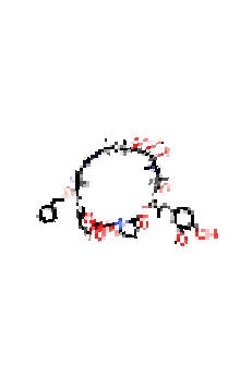 CO[C@@H]1C[C@H](CC(C)[C@@H]2CC(=O)[C@H](C)/C=C(\C)[C@@H](O)[C@@H](OC)C(=O)[C@H](C)C[C@H](C)/C=C/C=C/C=C(\C)[C@H](OCCc3ccccc3)C[C@@H]3CC[C@@H](C)[C@@](O)(O3)C(=O)C(=O)N3CCCC[C@H]3C(=O)O2)CC[C@H]1O